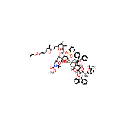 C=CCOC/C=C/[C@H]1CC(=C)[C@H](CC[C@H]2C[C@@H](C)C(=C)[C@@H](C[C@@H]3O[C@H](C[C@H]4CN(C(=O)OC(C)(C)C)C(C)(C)O4)[C@H](OC)[C@H]3[C@@H]([C@@H](O)C[C@H]3CC[C@@H]4O[C@@H]5[C@@H](O[C@H](C[C@@H](C=C)O[Si](CC)(CC)CC)[C@@H]5O[Si](c5ccccc5)(c5ccccc5)C(C)(C)C)[C@@H](O[Si](c5ccccc5)(c5ccccc5)C(C)(C)C)[C@H]4O3)S(=O)(=O)c3ccccc3)O2)O1